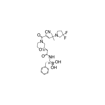 CC(C)(C=C(C#N)C(=O)N1CCO[C@H](CC(=O)N[C@@H](Cc2ccccc2)B(O)O)C1)N1CCC(F)(F)C1